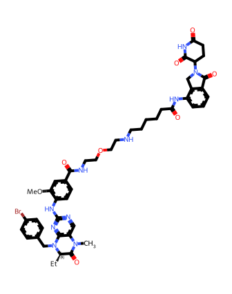 CC[C@@H]1C(=O)N(C)c2cnc(Nc3ccc(C(=O)NCCOCCNCCCCCC(=O)Nc4cccc5c4CN(C4CCC(=O)NC4=O)C5=O)cc3OC)nc2N1Cc1ccc(Br)cc1